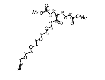 C#CCOCCOCCOCCOCCC(=O)N(CCCC(=O)OC)CCC(=O)OC